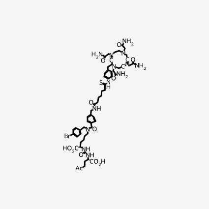 CC(=O)CC[C@@H](NC(=O)N[C@H](CCCCN(Cc1ccc(Br)cc1)C(=O)c1ccc(CNC(=O)CCCCCC(=S)Nc2ccc(CC3CN(CC(N)=O)CCN(CC(N)=O)CCN(CC(N)=O)CCN3CC(N)=O)cc2)cc1)C(=O)O)C(=O)O